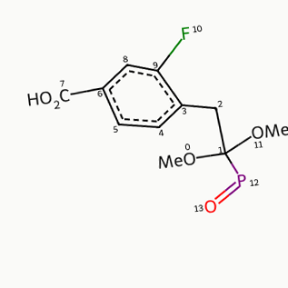 COC(Cc1ccc(C(=O)O)cc1F)(OC)P=O